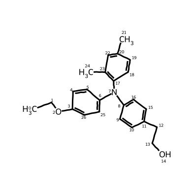 CCOc1ccc(N(c2ccc(CCO)cc2)c2ccc(C)cc2C)cc1